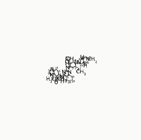 CCc1cc(Nc2nc3c(c(Nc4ccc5nccnc5c4P(C)(C)=O)n2)CCCC3)c(OC)cc1N1C[C@H]2CN(C)C[C@H]2C1